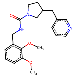 COc1cccc(CNC(=O)N2CCC(Cc3cccnc3)C2)c1OC